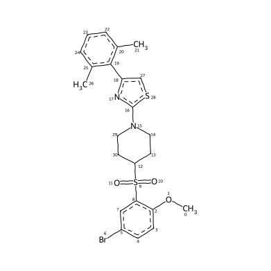 COc1ccc(Br)cc1S(=O)(=O)C1CCN(c2nc(-c3c(C)cccc3C)cs2)CC1